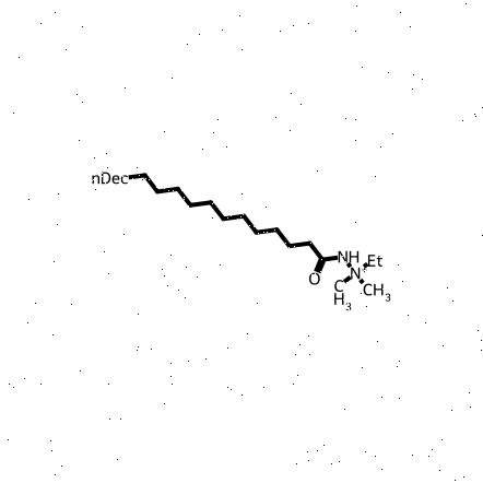 CCCCCCCCCCCCCCCCCCCCCC(=O)N[N+](C)(C)CC